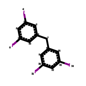 Ic1cc(I)cc(Cc2cc(I)cc(I)c2)c1